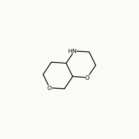 C1CO[C]2COCCC2N1